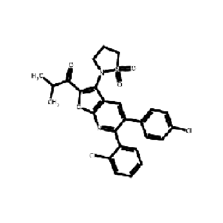 CC(C)C(=O)c1oc2nc(-c3ccccc3Cl)c(-c3ccc(Cl)cc3)cc2c1N1CCCS1(=O)=O